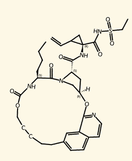 C=CC1C[C@]1(NC(=O)[C@@H]1C[C@@H]2CN1C(=O)[C@H](CCCC)NC(=O)OCCCCCc1ccc3ccnc(c3c1)O2)C(=O)NS(=O)(=O)CC